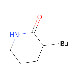 CCC(C)C1CCCNC1=O